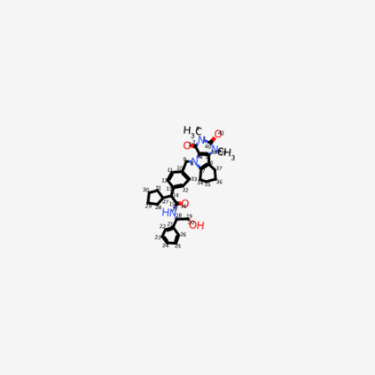 Cn1c(=O)c2c(c3c(n2Cc2ccc(C(C(=O)NC(CO)c4ccccc4)C4CCCC4)cc2)CCCC3)n(C)c1=O